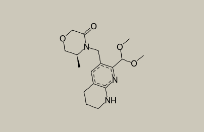 COC(OC)c1nc2c(cc1CN1C(=O)COC[C@@H]1C)CCCN2